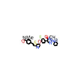 CNC(=O)c1ccc(-c2cc3nccc(Oc4ccc(-c5cnc(Nc6ccccc6)n(C)c5=O)cc4F)c3s2)cc1